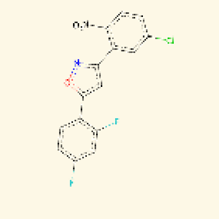 O=[N+]([O-])c1ccc(Cl)cc1-c1cc(-c2ccc(F)cc2F)on1